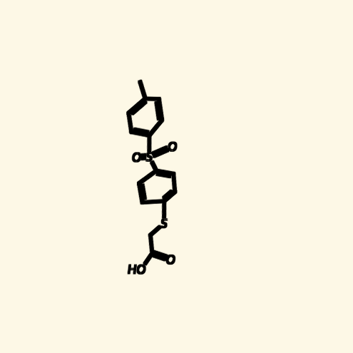 Cc1ccc(S(=O)(=O)c2ccc(SCC(=O)O)cc2)cc1